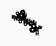 CC(C)C[C@H]1C(=O)N2CCC[C@H]2[C@]2(OP(=O)(O)O)O[C@](NC(=O)[C@@H]3C=C4c5cccc6[nH]c(Br)c(c56)C[C@H]4N(C)C3)(C(C)C)C(=O)N12